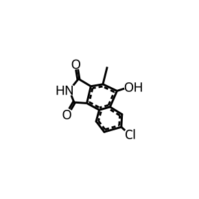 Cc1c2c(c3ccc(Cl)cc3c1O)C(=O)NC2=O